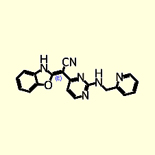 N#C/C(=C1\Nc2ccccc2O1)c1ccnc(NCc2ccccn2)n1